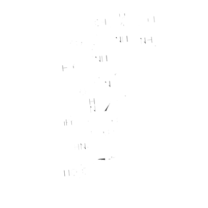 CC(C)[C@H](NC(=O)[C@@H](NC(=O)[C@@H]1CCCN1C(=O)[C@H](C)NC(=O)[C@H](C)NC(=O)[C@H](C)N)C(C)C)C(=O)O